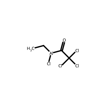 C[CH2][Al]([Cl])[C](=O)C(Cl)(Cl)Cl